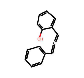 Oc1ccccc1C=C=Cc1ccccc1